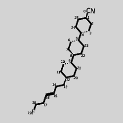 N#C[C@H]1CC[C@H]([C@H]2CC[C@H]([C@H]3CC[C@H](CCC=CCCF)CC3)CC2)CC1